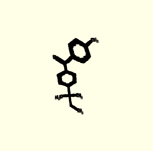 CCC(C)(C)c1ccc(C(=O)c2ccc(C)cc2)cc1